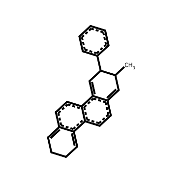 CC1C=c2ccc3c4c(ccc3c2=CC1c1ccccc1)=CCCC=4